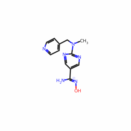 CN(Cc1ccncc1)c1ncc(/C(N)=N/O)cn1